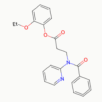 CCOc1ccccc1OC(=O)CCN(C(=O)C1=CC=C=C=C1)c1ccccn1